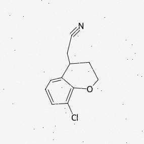 N#CCC1CCOc2c(Cl)cccc21